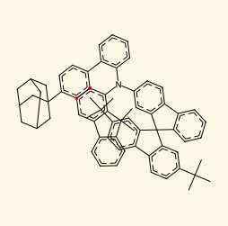 CC(C)(C)c1ccc2c(c1)C1(c3ccccc3-c3ccc(N(c4ccccc4-c4ccc(C56CC7CC(CC(C7)C5)C6)cc4)c4cccc5c4C(C)(C)c4ccccc4-5)cc31)c1cc(C(C)(C)C)ccc1-2